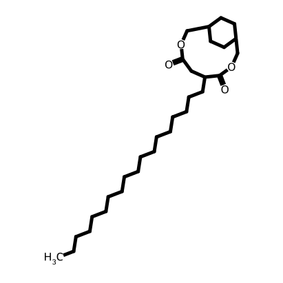 CCCCCCCCCCCCCCCCCCC1CC(=O)OCC2CCC(CC2)COC1=O